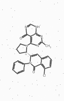 Cc1nc(N2CCC[C@H]2c2cc3cccc(Cl)c3c(=O)n2-c2ccccc2)c2c(=O)nc[nH]c2n1